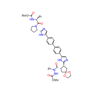 COC(=O)N[C@H](C(=O)N1CCC[C@H]1c1ncc(-c2ccc(-c3ccc(-c4cnc([C@H]5CC6(C[C@@H]5C(=O)N(NC(=O)OC)C(C)C)OCCO6)[nH]4)cc3)cc2)[nH]1)C(C)C